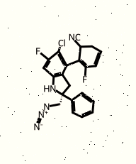 N#CC1CC=CC(F)=C1c1c(Cl)c(F)cc2c1C[C@@](CN=[N+]=[N-])(c1ccccc1)N2